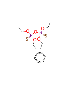 CCOP(=S)(OCC)OP(=S)(OCC)OCC.c1ccccc1